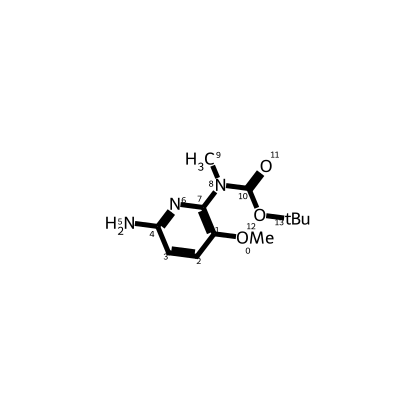 COc1ccc(N)nc1N(C)C(=O)OC(C)(C)C